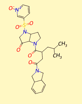 CC(C)CC(CC(=O)N1CC2C=CC=CC2C1)C(=O)N1CCC2C1C(=O)CN2S(=O)(=O)c1ccc[n+]([O-])c1